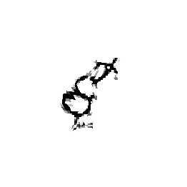 COc1ccc(CN2CC3C(C2)C3(C)C)c(C)c1